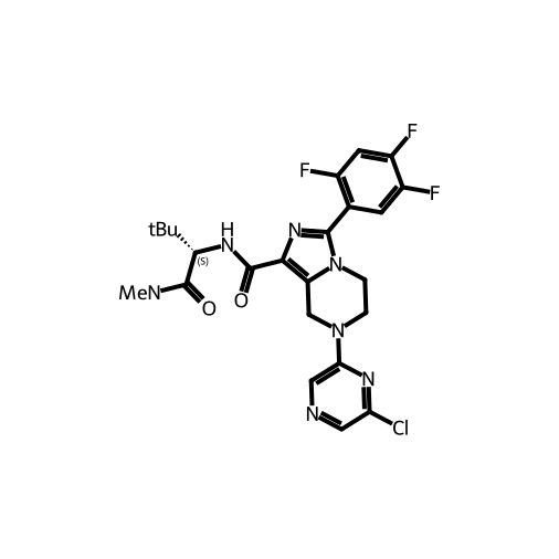 CNC(=O)[C@@H](NC(=O)c1nc(-c2cc(F)c(F)cc2F)n2c1CN(c1cncc(Cl)n1)CC2)C(C)(C)C